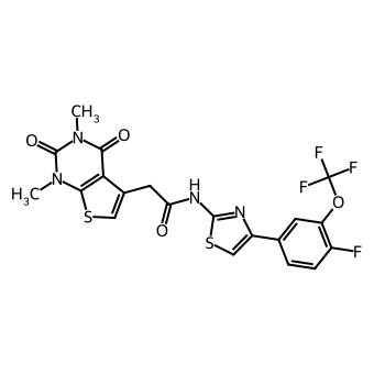 Cn1c(=O)c2c(CC(=O)Nc3nc(-c4ccc(F)c(OC(F)(F)F)c4)cs3)csc2n(C)c1=O